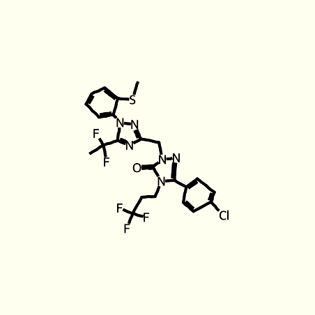 CSc1ccccc1-n1nc(Cn2nc(-c3ccc(Cl)cc3)n(CCC(F)(F)F)c2=O)nc1C(C)(F)F